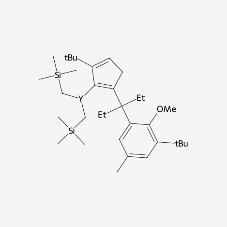 CCC(CC)(C1=[C]([Y]([CH2][Si](C)(C)C)[CH2][Si](C)(C)C)C(C(C)(C)C)=CC1)c1cc(C)cc(C(C)(C)C)c1OC